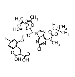 C#C[C@@]1(OC(C)=O)[C@@H](COc2cc(I)ccc2CC(C(=O)O)C(=O)O)O[C@@H](n2cnc3c(N(C)C(=O)OC(C)(C)C)nc(Cl)nc32)[C@@H]1OC(C)=O